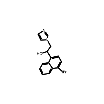 CC(C)c1ccc(C(O)Cn2ccnc2)c2ccccc12